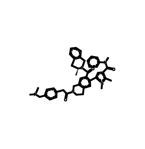 Cc1c(C(=O)N(C)c2ccccc2)cc(-c2cc3c(cc2C(=O)N2Cc4ccccc4C[C@H]2C)CN(C(=O)Cc2ccc(CN(C)C)cc2)CC3)n1C